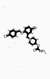 NC(=O)OC1CCN(Cc2cc(Br)ccc2OCc2ccc(Cl)cc2)CC1